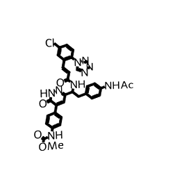 COC(=O)Nc1ccc(-c2cc(C(Cc3ccc(NC(C)=O)cc3)NC(=O)C=Cc3cc(Cl)ccc3-n3cnnn3)n[nH]c2=O)cc1